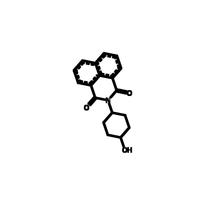 O=C1c2cccc3cccc(c23)C(=O)N1C1CCC(O)CC1